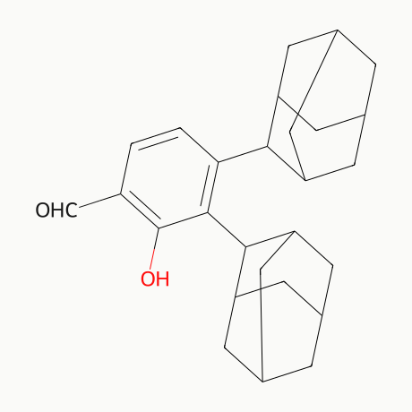 O=Cc1ccc(C2C3CC4CC(C3)CC2C4)c(C2C3CC4CC(C3)CC2C4)c1O